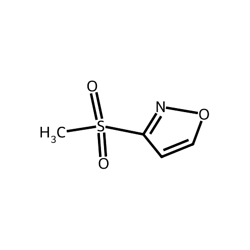 CS(=O)(=O)c1ccon1